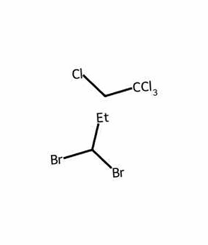 CCC(Br)Br.ClCC(Cl)(Cl)Cl